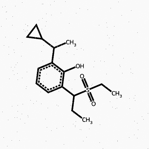 CCC(c1cccc(C(C)C2CC2)c1O)S(=O)(=O)CC